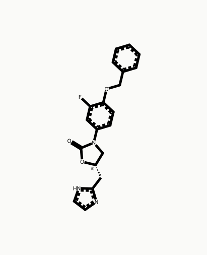 O=C1O[C@@H](Cc2ncc[nH]2)CN1c1ccc(OCc2ccccc2)c(F)c1